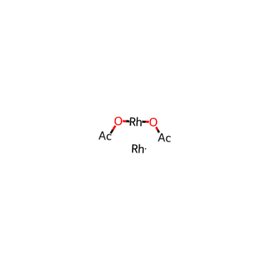 CC(=O)[O][Rh][O]C(C)=O.[Rh]